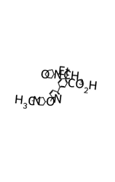 CCN(c1cc(-c2ccc(OC3CCN(C)CC3)nc2)cc(C(=O)O)c1C)C1CCOCC1